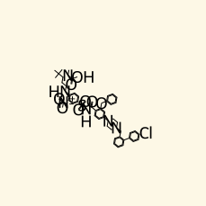 CN(C(=O)O)C(CCNc1ccc(S(=O)(=O)NC(=O)c2ccc(N3CCN(Cc4ccccc4-c4ccc(Cl)cc4)CC3)cc2Oc2ccccc2)cc1[N+](=O)[O-])C(C)(C)C